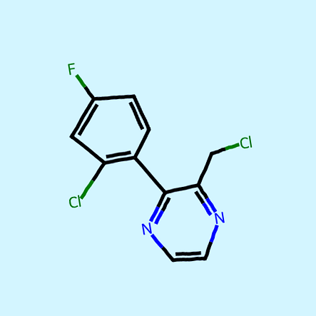 Fc1ccc(-c2nccnc2CCl)c(Cl)c1